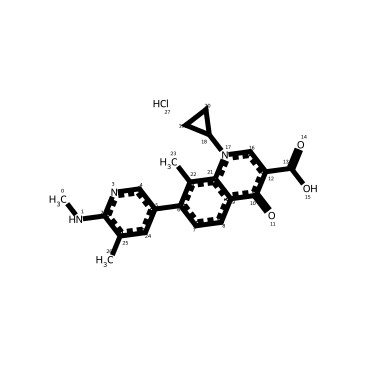 CNc1ncc(-c2ccc3c(=O)c(C(=O)O)cn(C4CC4)c3c2C)cc1C.Cl